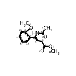 COC(=O)CC=C(NC(C)=O)c1ccccc1OC